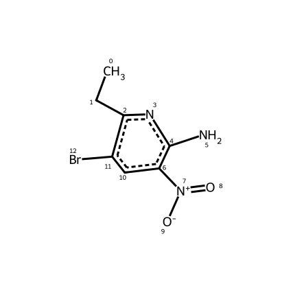 CCc1nc(N)c([N+](=O)[O-])cc1Br